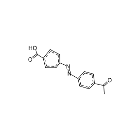 CC(=O)c1ccc(/N=N/c2ccc(C(=O)O)cc2)cc1